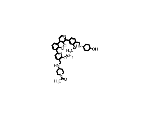 COc1cc(-c2nccc(-c3cccc(-c4ccc(CNC5CCN(C(C)=O)CC5)c(OC)n4)c3Cl)c2Cl)ccc1CN[C@H]1CC[C@@H](O)CC1